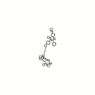 COc1cc2c(cc1OCCCCCOc1ccc(-n3c(-c4ccccc4)nc4ccc(N5CCCC5)cc4c3=O)cc1)N=C[C@@H]1CCCN1C2=O